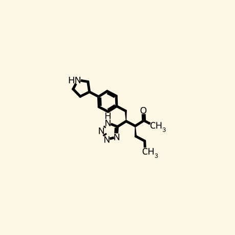 CCC[C@H](C(C)=O)[C@H](Cc1ccc(C2CCNC2)cc1)c1nnn[nH]1